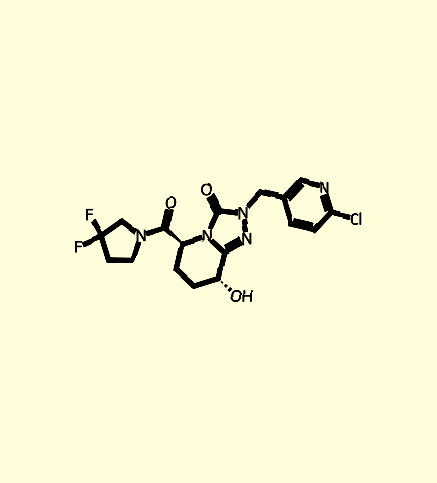 O=C([C@@H]1CC[C@@H](O)c2nn(Cc3ccc(Cl)nc3)c(=O)n21)N1CCC(F)(F)C1